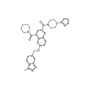 Cn1nnc2cc(COc3ccc4nc(C(=O)N5CCC(n6cccn6)CC5)cc(C(=O)N5CCCCC5)c4c3)ccc21